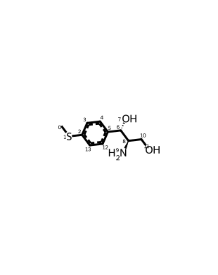 CSc1ccc([C@H](O)[C@H](N)CO)cc1